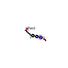 C=CCOc1cnc(-c2ccc(-c3ccc(C=CCCCC(C)OCCCCC)c(F)c3)cc2)nc1